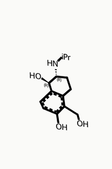 CC(C)N[C@@H]1CCc2c(ccc(O)c2CO)[C@H]1O